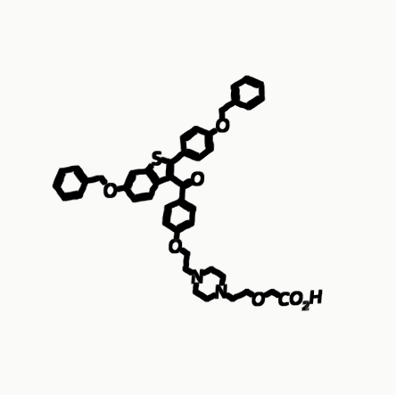 O=C(O)COCCN1CCN(CCOc2ccc(C(=O)c3c(-c4ccc(OCc5ccccc5)cc4)sc4cc(OCc5ccccc5)ccc34)cc2)CC1